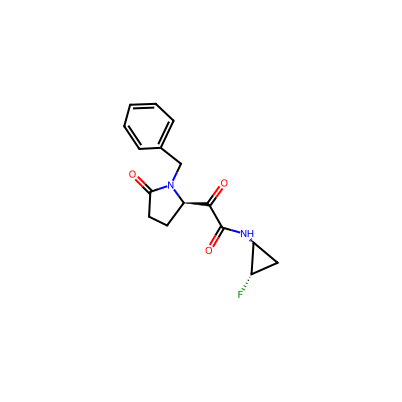 O=C(N[C@@H]1C[C@@H]1F)C(=O)[C@H]1CCC(=O)N1Cc1ccccc1